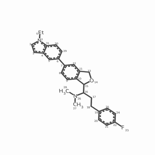 CCn1ccc2cc(-c3ccc4c(c3)COC4C(CCc3ccc(F)cc3)N(C)C)ccc21